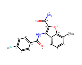 COc1cccc2c(NC(=O)c3ccc(F)cc3)c(C(N)=O)oc12